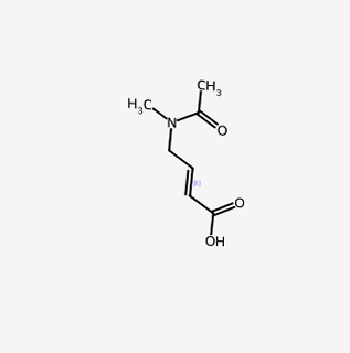 CC(=O)N(C)C/C=C/C(=O)O